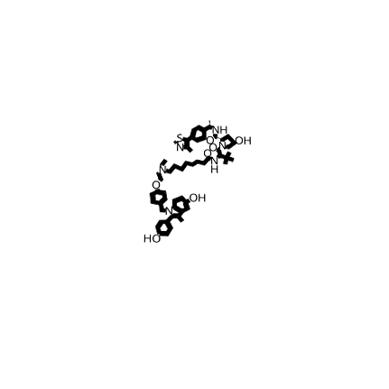 CCN(CCCCCCCC(=O)NC(C(=O)N1C[C@H](O)C[C@H]1C(=O)N[C@@H](C)c1ccc(-c2scnc2C)cc1)C(C)(C)C)CCOc1ccc(Cn2c(-c3ccc(O)cc3)c(C)c3cc(O)ccc32)cc1